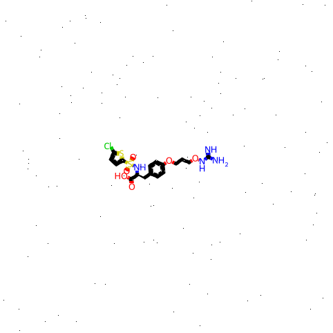 N=C(N)NOCCCOc1ccc(C[C@H](NS(=O)(=O)c2ccc(Cl)s2)C(=O)O)cc1